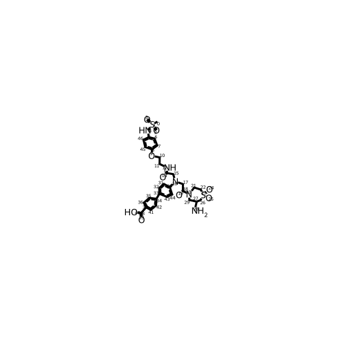 CS(=O)(=O)Nc1ccc(OCCNC(=O)CN(CC(=O)N2CCS(=O)(=O)CC(N)C2)c2ccc(-c3ccc(C(=O)O)cc3)cc2)cc1